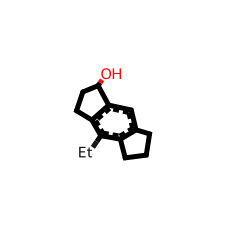 CCc1c2c(cc3c1CCC3O)CCC2